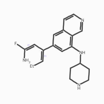 CC/C=C(\C=C(/N)F)c1cc(NC2CCNCC2)c2cnccc2c1